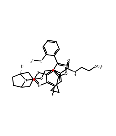 O=C(NCCS(=O)(=O)O)c1cc(F)c2nc(N3C4CC[C@H]3CC(OCc3c(-c5ccccc5OC(F)(F)F)noc3C3CC3)C4)sc2c1